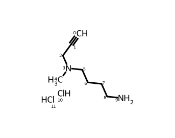 C#CCN(C)CCCCN.Cl.Cl